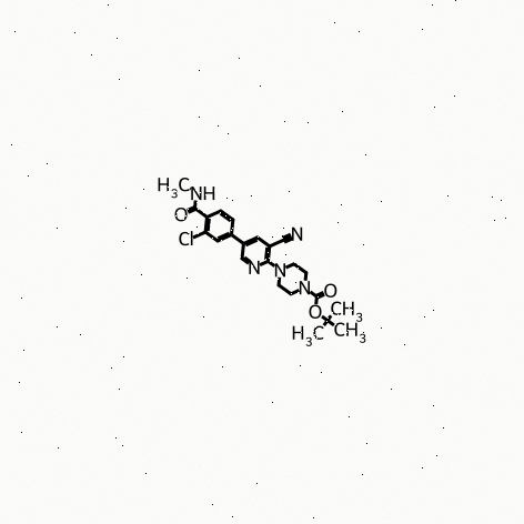 CNC(=O)c1ccc(-c2cnc(N3CCN(C(=O)OC(C)(C)C)CC3)c(C#N)c2)cc1Cl